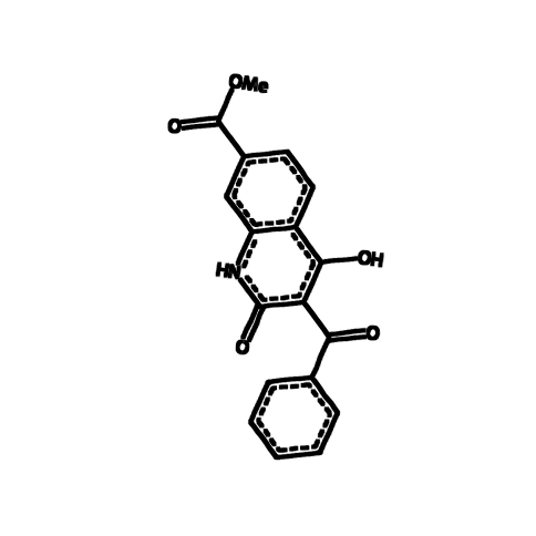 COC(=O)c1ccc2c(O)c(C(=O)c3ccccc3)c(=O)[nH]c2c1